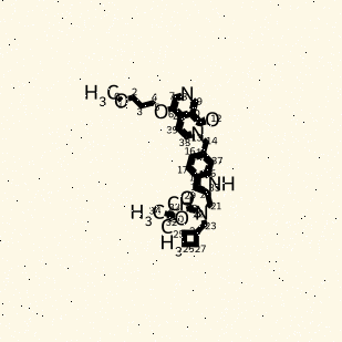 COCCCOc1cncc2c(=O)n(Cc3ccc4cc(CN(CC5CCC5)C(=O)OC(C)(C)C)[nH]c4c3)ccc12